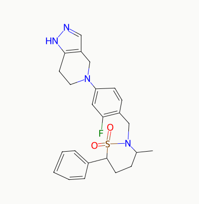 CC1CCC(c2ccccc2)S(=O)(=O)N1Cc1ccc(N2CCc3[nH]ncc3C2)cc1F